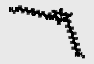 C=C(CCC(C)C(C)C(NCCCCCOCCCCCN)=C1CC1)NCCCCCCCCCCCN